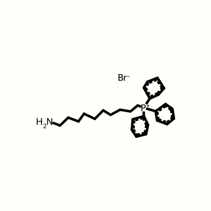 NCCCCCCCCCC[P+](c1ccccc1)(c1ccccc1)c1ccccc1.[Br-]